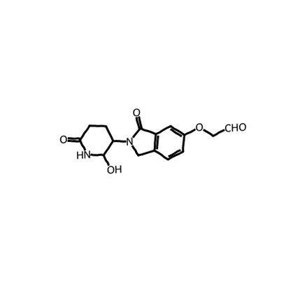 O=CCOc1ccc2c(c1)C(=O)N(C1CCC(=O)NC1O)C2